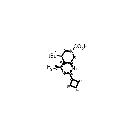 CC(C)(C)C1CN(C(=O)O)Cc2nc(C3CCC3)nc(C(F)(F)F)c21